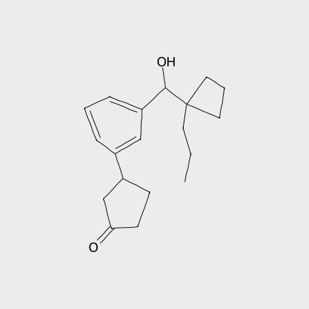 CCCC1(C(O)c2cccc(C3CCC(=O)C3)c2)CCC1